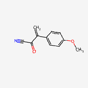 C=C(C(=O)C#N)c1ccc(OC)cc1